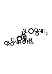 CC(C)(C)NS(=O)(=O)c1cc(NC(=O)OC2COC2)ccc1-c1cnc([C@H]2CC[C@H](OC(N)=O)CC2)s1